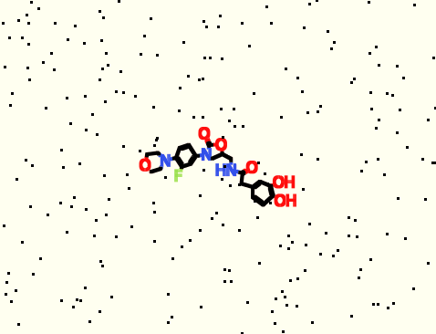 O=C(Cc1ccc(O)c(O)c1)NCC1CN(c2ccc(N3CCOCC3)c(F)c2)C(=O)O1